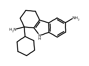 Nc1ccc2[nH]c3c(c2c1)CCCC3(N)C1CCCCC1